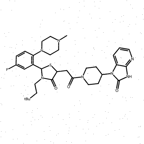 CN1CCN(c2ccc(F)cc2C2SC(CC(=O)N3CCC(n4c(=O)[nH]c5ncccc54)CC3)C(=O)N2CCC(C)(C)C)CC1